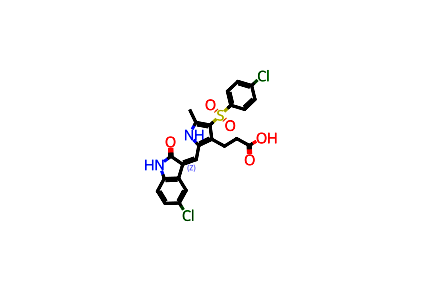 Cc1[nH]c(/C=C2\C(=O)Nc3ccc(Cl)cc32)c(CCC(=O)O)c1S(=O)(=O)c1ccc(Cl)cc1